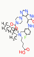 CC(C)N(CCCCC(=O)O)Cc1cc(N/C=C2\C(=O)Nc3ncnc(N4CCN(C(=O)OC(C)(C)C)CC4)c32)ccc1F